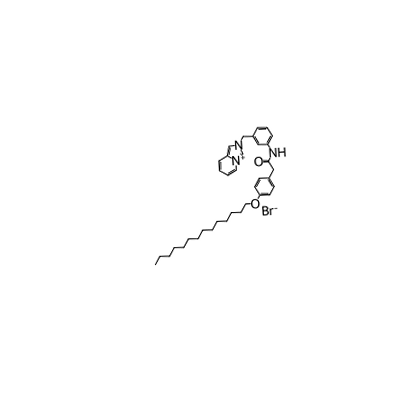 CCCCCCCCCCCCCCOc1ccc(CC(=O)Nc2cccc(Cn3cc4cccc[n+]4c3)c2)cc1.[Br-]